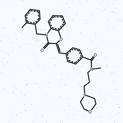 Cc1ccccc1CN1C(=O)/C(=C/c2ccc(C(=O)N(C)CCCN3CCOCC3)cc2)Oc2ccccc21